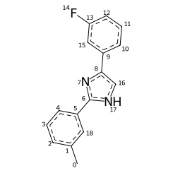 Cc1cccc(-c2nc(-c3cccc(F)c3)c[nH]2)c1